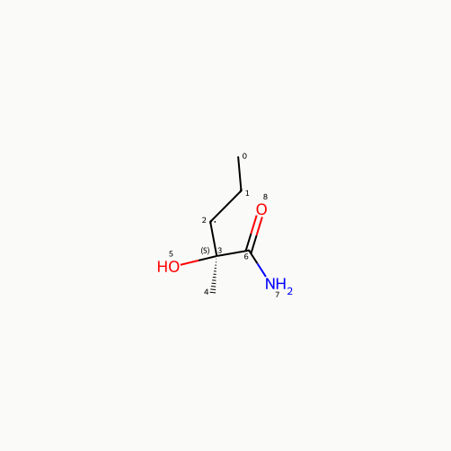 CC[CH][C@](C)(O)C(N)=O